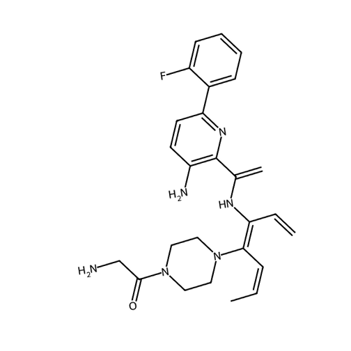 C=C/C(NC(=C)c1nc(-c2ccccc2F)ccc1N)=C(\C=C/C)N1CCN(C(=O)CN)CC1